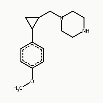 COc1ccc(C2CC2CN2CCNCC2)cc1